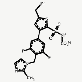 Cc1nccn1Cc1c(F)cc(-c2cc(CC(C)C)sc2S(=O)(=O)NC(=O)O)cc1F